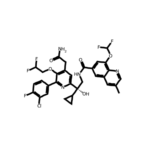 Cc1cnc2c(OC(F)F)cc(C(=O)NC[C@](O)(c3cc(CC(N)=O)c(OCC(F)F)c(-c4ccc(F)c(Cl)c4)n3)C3CC3)cc2c1